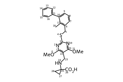 COc1nc(SCc2cccc(-c3ccccc3)c2C)nc(OC)c1CNC1(C(=O)O)CC1